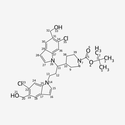 CC(C)(C)OC(=O)N1CCC(C(CCn2ccc3cc(CO)c(Cl)cc32)n2ccc3cc(CO)c(Cl)cc32)CC1